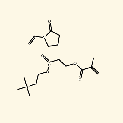 C=C(C)C(=O)OCC[PH](=O)OCC[N+](C)(C)C.C=CN1CCCC1=O